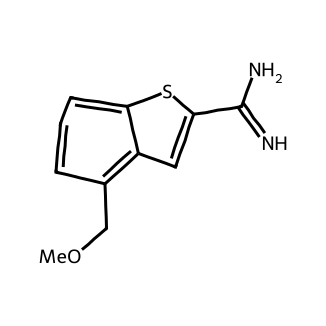 COCc1cccc2sc(C(=N)N)cc12